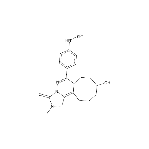 CCCNc1ccc(C2=NN3C(=O)N(C)CC3=C3CCCC(O)CCC23)cc1